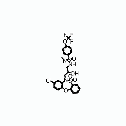 CN=S(=O)(NCC(O)CN1c2cc(Cl)ccc2Oc2ccccc2S1(=O)=O)c1ccc(OC(F)(F)F)cc1